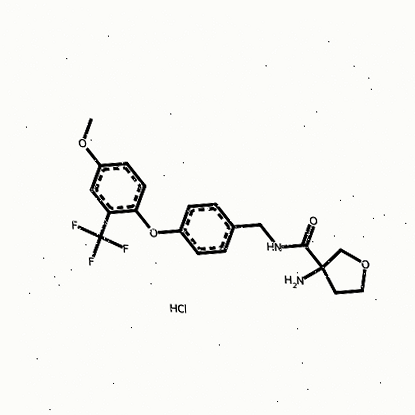 COc1ccc(Oc2ccc(CNC(=O)C3(N)CCOC3)cc2)c(C(F)(F)F)c1.Cl